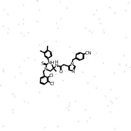 Cc1ccc(NC(=S)N(Cc2cccc(Cl)c2Cl)CC(C)(C)NC(=O)Cc2cncn2Cc2ccc(C#N)cc2)cc1C